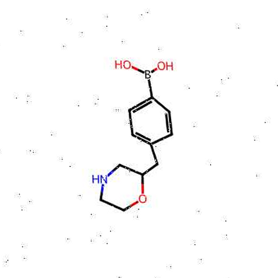 OB(O)c1ccc(CC2CNCCO2)cc1